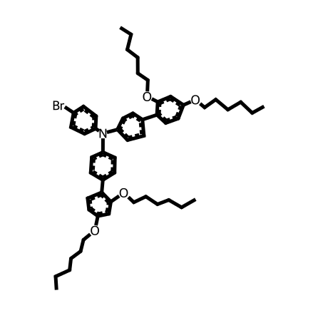 CCCCCCOc1ccc(-c2ccc(N(c3ccc(Br)cc3)c3ccc(-c4ccc(OCCCCCC)cc4OCCCCCC)cc3)cc2)c(OCCCCCC)c1